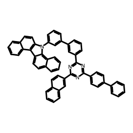 c1ccc(-c2ccc(-c3nc(-c4cccc(-c5cccc(-n6c7ccc8ccccc8c7c7ccc8ccccc8c76)c5)c4)nc(-c4ccc5ccccc5c4)n3)cc2)cc1